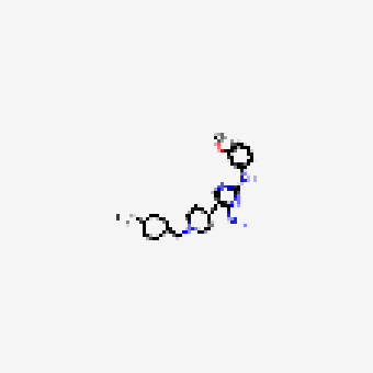 COc1cccc(Nc2ncc(C3CCN(CC4CCC(C)CC4)CC3)c(N)n2)c1